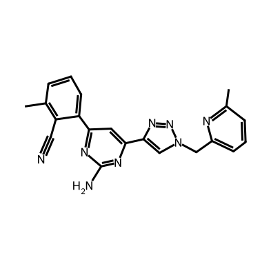 Cc1cccc(Cn2cc(-c3cc(-c4cccc(C)c4C#N)nc(N)n3)nn2)n1